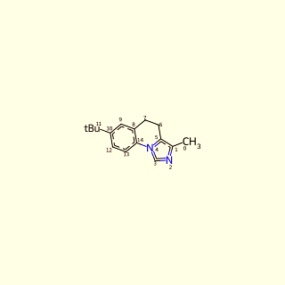 Cc1ncn2c1CCc1cc(C(C)(C)C)ccc1-2